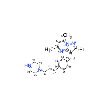 CCc1nn2c(C)cc(C)nc2c1Cc1ccc(C=CCN2CCNCC2)cc1